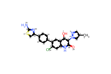 Cc1cnn(-c2c(O)c3cc(-c4ccc(-c5csc(N)n5)cc4)c(Cl)cc3[nH]c2=O)c1